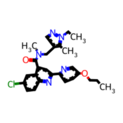 CCCOc1ccc(-c2cc(C(=O)N(C)Cc3cnn(CC)c3C)c3cc(Cl)ccc3n2)nc1